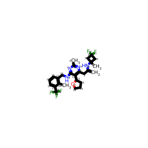 C=C(Cc1nc(C)nc(NCc2cccc(C(F)(F)F)c2C)c1C1CCCO1)NC1(C)CC(F)(F)C1